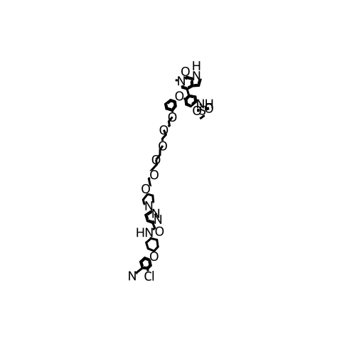 CCS(=O)(=O)Nc1ccc(Oc2cccc(OCCOCCOCCOCCOCCOC3CCN(c4ccc(C(=O)NC5CCC(Oc6ccc(C#N)c(Cl)c6)CC5)nn4)CC3)c2)c(-c2cn(C)c(=O)c3[nH]ccc23)c1